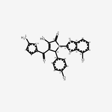 Cc1ccc(C(=O)C2=C(O)C(=O)N(c3nc4c(Cl)cccc4s3)C2c2ccc(Cl)cc2)s1